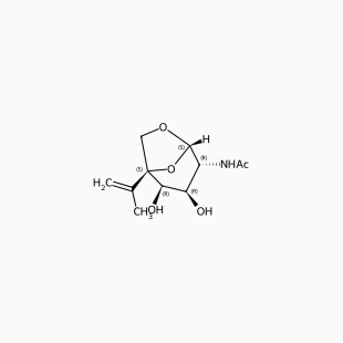 C=C(C)[C@@]12CO[C@@H](O1)[C@H](NC(C)=O)[C@@H](O)[C@H]2O